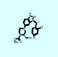 C[C@H](c1ccc(Cl)cc1Cl)N1NNc2ccc(N3CCN(C(=O)OC(C)(C)C)[C@H](CO)C3)cc21